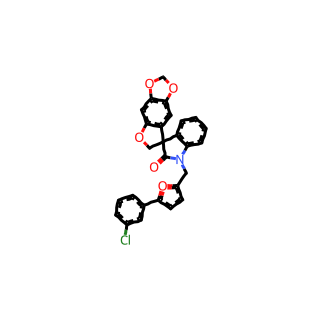 O=C1N(Cc2ccc(-c3cccc(Cl)c3)o2)c2ccccc2C12COc1cc3c(cc12)OCO3